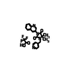 CC1(C)C(=O)N(c2cnc3ccccc3c2)C(=O)N1Cc1ccncc1.O=C(O)C(F)(F)F